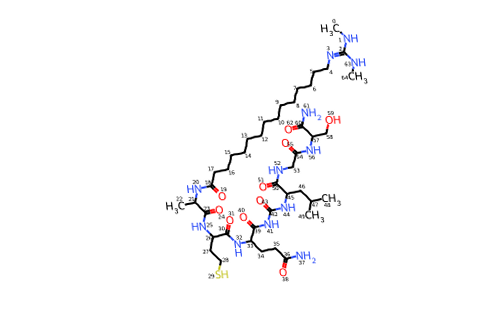 CNC(=NCCCCCCCCCCCCCCC(=O)NC(C)C(=O)NC(CCS)C(=O)NC(CCC(N)=O)C(=O)NC(=O)NC(CC(C)C)C(=O)NCC(=O)NC(CO)C(N)=O)NC